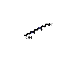 C/C(=C\CCC(C)O)CC/C=C(\C)CCCC(C)C